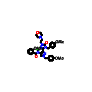 COc1ccc(Cn2cc(N(Cl)C(=O)c3ccccc3OC)c(-c3nn(CCN4CCOCC4)c(=O)n3Cc3ccc(OC)cc3)n2)cc1